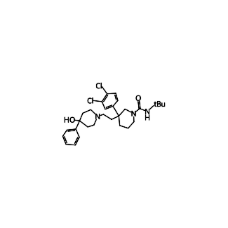 CC(C)(C)NC(=O)N1CCCC(CCN2CCC(O)(c3ccccc3)CC2)(c2ccc(Cl)c(Cl)c2)C1